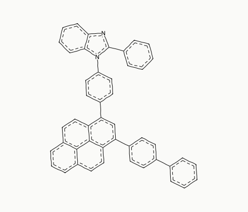 c1ccc(-c2ccc(-c3cc(-c4ccc(-n5c(-c6ccccc6)nc6ccccc65)cc4)c4ccc5cccc6ccc3c4c65)cc2)cc1